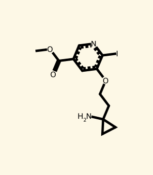 COC(=O)c1cnc(I)c(OCCC2(N)CC2)c1